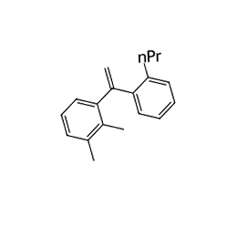 C=C(c1ccccc1CCC)c1cccc(C)c1C